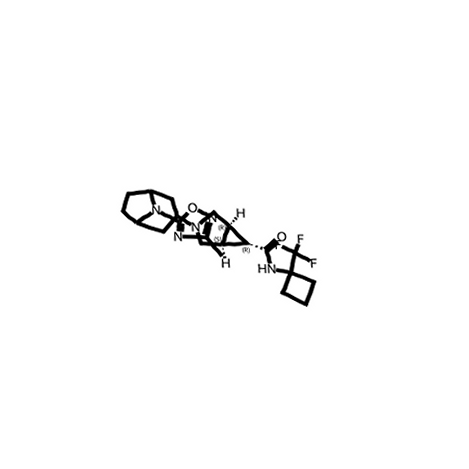 Cc1noc(N2C3CCC2CC(N2C[C@@H]4[C@H](C2)[C@H]4C(=O)NC2(C(F)(F)F)CCC2)C3)n1